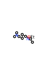 CCc1cc(-c2ccccc2)cc2nc(-c3ccc(-c4ccccc4-c4ccccc4-c4ccc(N(c5ccccc5)c5ccccc5)cc4)cc3)oc12